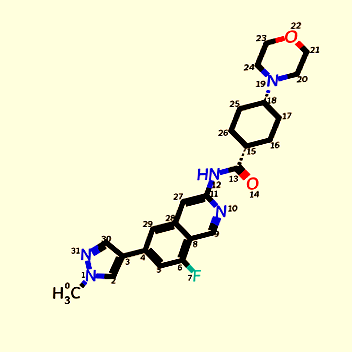 Cn1cc(-c2cc(F)c3cnc(NC(=O)[C@H]4CC[C@@H](N5CCOCC5)CC4)cc3c2)cn1